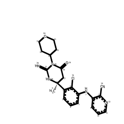 C[C@@]1(c2cccc(Nc3cccnc3C#N)c2Cl)CC(=O)N(C2CCOCC2)C(=N)N1